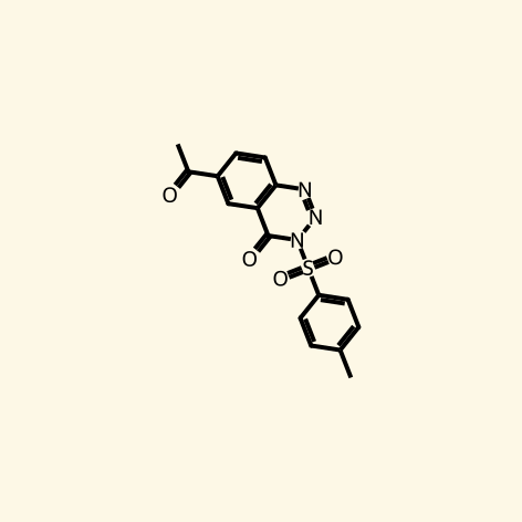 CC(=O)c1ccc2nnn(S(=O)(=O)c3ccc(C)cc3)c(=O)c2c1